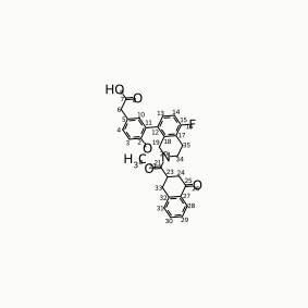 COc1ccc(CC(=O)O)cc1-c1ccc(F)c2c1CN(C(=O)C1CC(=O)c3ccccc3C1)CC2